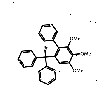 COc1cc(C(Br)(c2ccccc2)c2ccccc2)c(-c2ccccc2)c(OC)c1OC